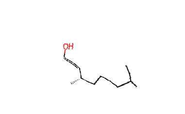 CC(C)CCC[C@H](C)C=CO